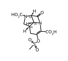 CS(=O)(=O)OC1=C(C(=O)O)N2C(=O)[C@@H]3[C@H]2[C@H](C1)CN3C(=O)O